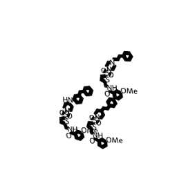 COc1cccc(C(=O)NCc2ccc(S(=O)(=O)N3CCC(CCc4ccccc4)CC3)s2)c1.COc1cccc(C(=O)NCc2ccc(S(=O)(=O)N3CCC(Nc4cccc(Cc5ccccc5)c4)CC3)s2)c1.COc1cccc(C(=O)NCc2ccc(S(=O)(=O)N3CCN(CCCc4ccccc4)CC3)s2)c1